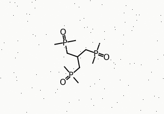 CP(C)(=O)CC(CP(C)(C)=O)CP(C)(C)=O